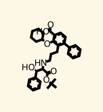 CC(C)(C)OC(=O)C(NCCCc1c(-c2ccccc2)ccc(C(=O)O)c1OC1CCCCC1)[C@H](O)c1ccccc1